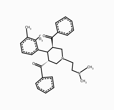 Cc1cccc(C2[C@@H](C(=O)c3ccccc3)CN(CCN(C)C)C[C@@H]2C(=O)c2ccccc2)c1C